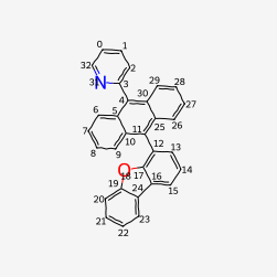 c1ccc(-c2c3ccccc3c(-c3cccc4c3oc3ccccc34)c3ccccc23)nc1